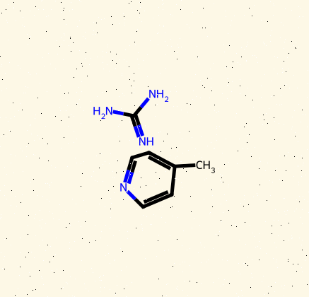 Cc1ccncc1.N=C(N)N